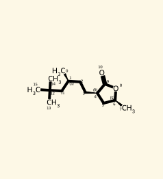 C[C@@H](CC[C@@H]1C[C@H](C)OC1=O)CC(C)(C)C